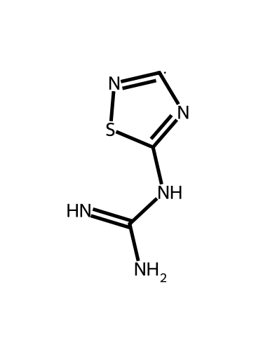 N=C(N)Nc1n[c]ns1